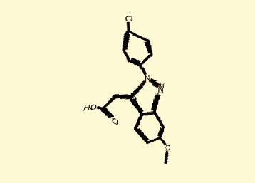 COc1ccc2c(CC(=O)O)n(-c3ccc(Cl)cc3)nc2c1